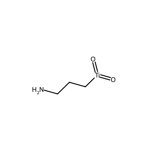 NCC[CH2][Ti](=[O])=[O]